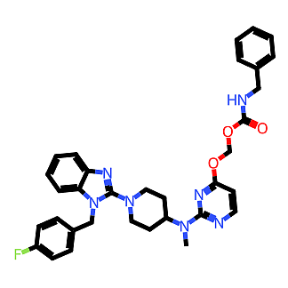 CN(c1nccc(OCOC(=O)NCc2ccccc2)n1)C1CCN(c2nc3ccccc3n2Cc2ccc(F)cc2)CC1